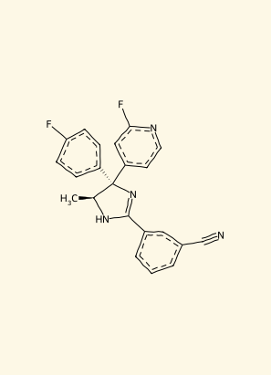 C[C@@H]1NC(c2cccc(C#N)c2)=N[C@]1(c1ccc(F)cc1)c1ccnc(F)c1